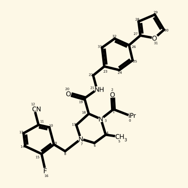 CC(C)C(=O)N1C(C)CN(Cc2cc(C#N)ccc2F)CC1C(=O)NCc1ccc(-c2ccco2)cc1